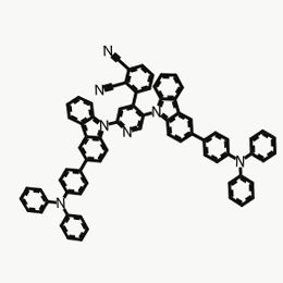 N#Cc1cccc(-c2cc(-n3c4ccccc4c4cc(-c5ccc(N(c6ccccc6)c6ccccc6)cc5)ccc43)ncc2-n2c3ccccc3c3cc(-c4ccc(N(c5ccccc5)c5ccccc5)cc4)ccc32)c1C#N